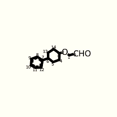 O=CCOC1CCC(c2ccccc2)CC1